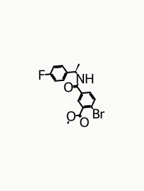 COC(=O)c1cc(C(=O)N[C@H](C)c2ccc(F)cc2)ccc1Br